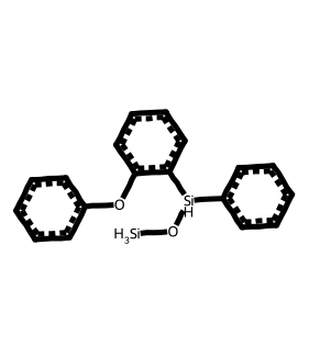 [SiH3]O[SiH](c1ccccc1)c1ccccc1Oc1ccccc1